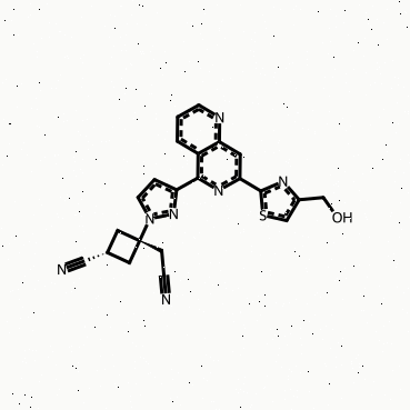 N#CC[C@]1(n2ccc(-c3nc(-c4nc(CO)cs4)cc4ncccc34)n2)C[C@@H](C#N)C1